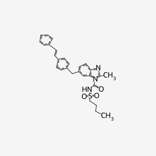 CCCCS(=O)(=O)NC(=O)n1c(C)nc2ccc(Cc3ccc(C=Cc4ccccc4)cc3)cc21